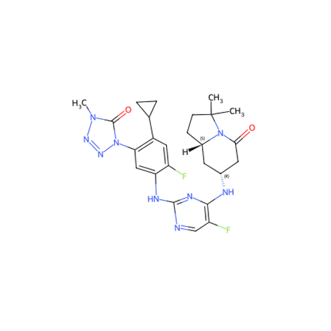 Cn1nnn(-c2cc(Nc3ncc(F)c(N[C@H]4CC(=O)N5[C@@H](CCC5(C)C)C4)n3)c(F)cc2C2CC2)c1=O